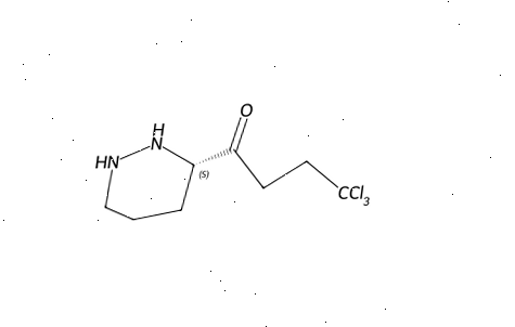 O=C(CCC(Cl)(Cl)Cl)[C@@H]1CCCNN1